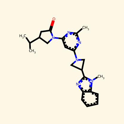 Cc1nc(N2CC(c3nc4ccccc4n3C)C2)cc(N2CC(C(C)C)CC2=O)n1